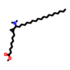 CCCCCCCCCCCCCCCCCCC(C1CC1CCCCCCCC(=O)OC)N(C)C